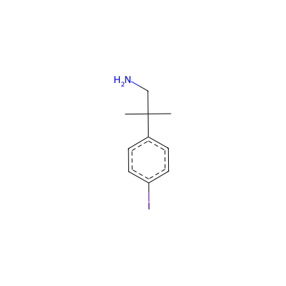 CC(C)(CN)c1ccc(I)cc1